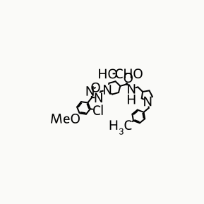 COc1ccc(-c2noc(N3CCC(C(=O)NCC4CCN(Cc5ccc(C)cc5)C4)CC3)n2)c(Cl)c1.O=CO